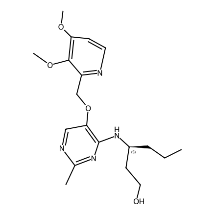 CCC[C@@H](CCO)Nc1nc(C)ncc1OCc1nccc(OC)c1OC